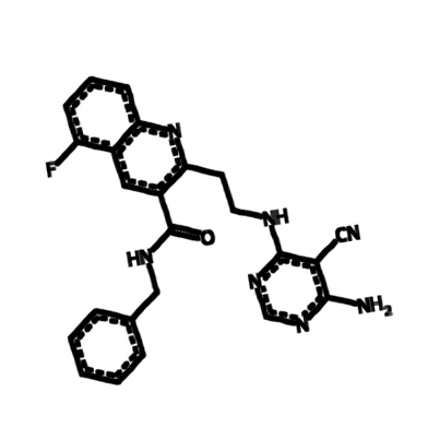 N#Cc1c(N)ncnc1NCCc1nc2cccc(F)c2cc1C(=O)NCc1ccccc1